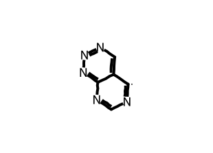 [c]1ncnc2nnncc12